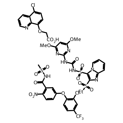 CCS(=O)(=O)c1nc2ccccn2c1S(=O)(=O)NC(=O)Nc1nc(OC)cc(OC)n1.CS(=O)(=O)NC(=O)c1cc(Oc2ccc(C(F)(F)F)cc2Cl)ccc1[N+](=O)[O-].O=C(O)COc1ccc(Cl)c2cccnc12